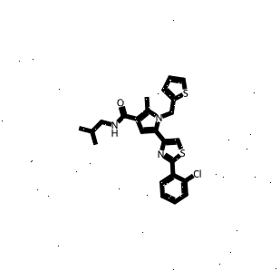 Cc1c(C(=O)NCC(C)C)cc(-c2csc(-c3ccccc3Cl)n2)n1Cc1cccs1